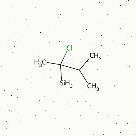 CC(C)C(C)([SiH3])Cl